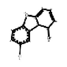 Clc1ccc2c(c1)C1C(=CC=CC1Br)O2